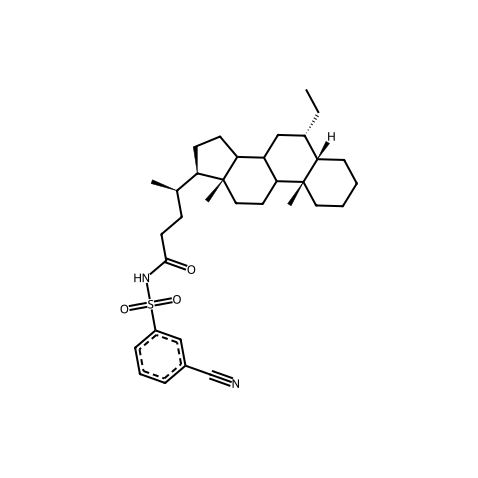 CC[C@H]1CC2C3CC[C@H]([C@H](C)CCC(=O)NS(=O)(=O)c4cccc(C#N)c4)[C@@]3(C)CCC2[C@@]2(C)CCCC[C@@H]12